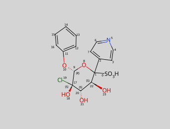 O=S(=O)(O)C1(c2ccncc2)O[C@@H](Oc2ccccc2)[C@@](O)(Cl)[C@@H](O)[C@@H]1O